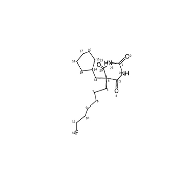 O=C1NC(=O)C(CCCCCCF)(CC2CCCCC2)C(=O)N1